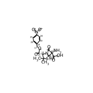 CC1(C)S[C@H]2N(C(=O)[C@@]2(N)C(=O)O)[C@H]1C(=O)OCc1ccc([N+](=O)[O-])cc1